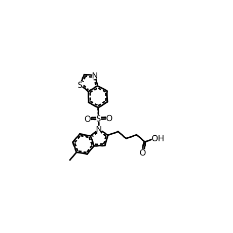 Cc1ccc2c(c1)cc(CCCC(=O)O)n2S(=O)(=O)c1ccc2ncsc2c1